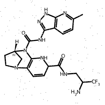 Cc1ccc2c(NC(=O)N3C4=C(C=CC(C(=O)NCC(N)C(F)(F)F)N4)N4CC[C@H]3C4)n[nH]c2n1